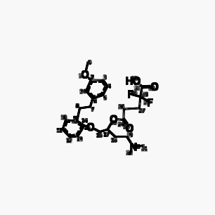 COc1cccc(CCc2ccccc2OCC(CCN(C)C)OC(=O)CCC(F)(F)C(=O)O)c1